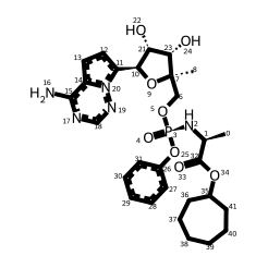 C[C@H](N[P@@](=O)(OC[C@@]1(C)O[C@@H](c2ccc3c(N)ncnn23)[C@H](O)[C@@H]1O)Oc1ccccc1)C(=O)OC1CCCCCC1